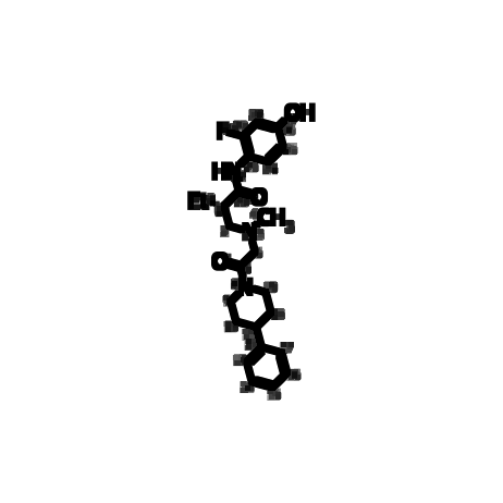 CC[C@@H](CN(C)CC(=O)N1CCC(c2ccccc2)CC1)C(=O)Nc1ccc(O)cc1F